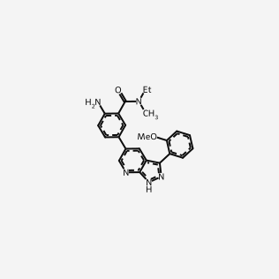 CCN(C)C(=O)c1cc(-c2cnc3[nH]nc(-c4ccccc4OC)c3c2)ccc1N